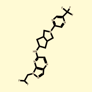 FC(F)Cn1ncc2ncc(NC3CC4CN(c5cnc(C(F)(F)F)cn5)CC4C3)nc21